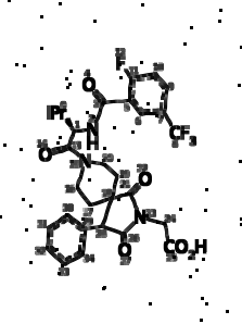 CC(C)[C@@H](NC(=O)c1cc(C(F)(F)F)ccc1F)C(=O)N1CCC2(CC1)C(=O)N(CC(=O)O)C(=O)C2c1ccccc1